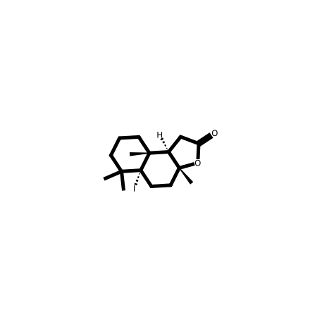 CC1(C)CCC[C@]2(C)[C@H]3CC(=O)O[C@]3(C)CC[C@@]12I